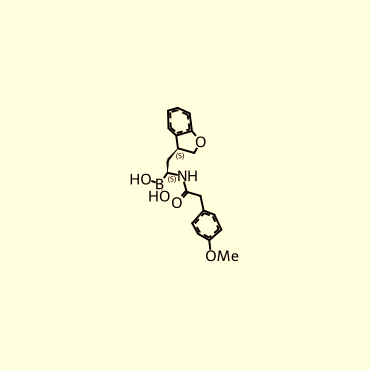 COc1ccc(CC(=O)N[C@H](C[C@@H]2COc3ccccc32)B(O)O)cc1